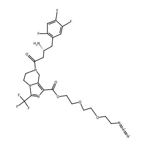 [N-]=[N+]=NCCOCCOCCOC(=O)c1nc(C(F)(F)F)n2c1CN(C(=O)C[C@H](N)Cc1cc(F)c(F)cc1F)CC2